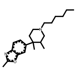 CCCCCCN1CCC(C)(c2ccc3nc(C)oc3c2)C(C)C1